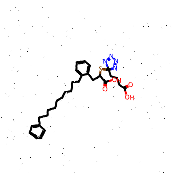 O=C(O)CCCC1(SC(Cc2ccccc2CCCCCCCCCCc2ccccc2)C(=O)O)N=NN=N1